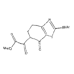 COC(=O)C(=O)C1CCc2nc(NC(C)=O)sc2C1=O